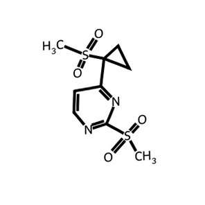 CS(=O)(=O)c1nccc(C2(S(C)(=O)=O)CC2)n1